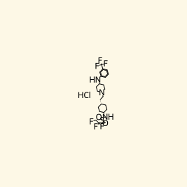 Cl.O=S(=O)(N[C@H]1CC[C@H](CCN2CCC(Nc3cccc(C(F)(F)F)c3)CC2)CC1)C(F)(F)CF